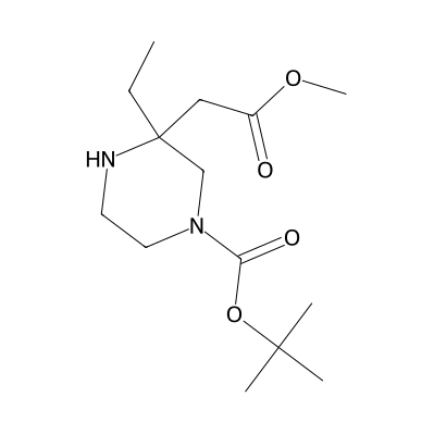 CCC1(CC(=O)OC)CN(C(=O)OC(C)(C)C)CCN1